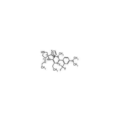 CCO[C@H]1CNC[C@]1(Nc1c(CC)nc(-c2ccc(N(C)C)cc2C(F)(F)F)n(C)c1=O)c1nccs1